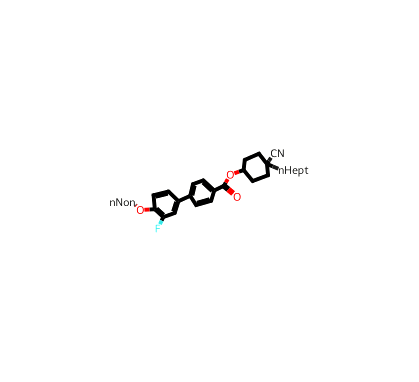 CCCCCCCCCOc1ccc(-c2ccc(C(=O)OC3CCC(C#N)(CCCCCCC)CC3)cc2)cc1F